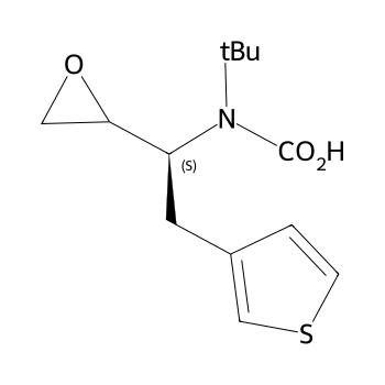 CC(C)(C)N(C(=O)O)[C@@H](Cc1ccsc1)C1CO1